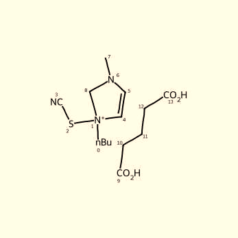 CCCC[N+]1(SC#N)C=CN(C)C1.O=C(O)CCCC(=O)O